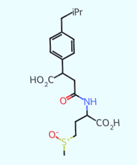 CC(C)Cc1ccc(C(CC(=O)NC(CC[S+](C)[O-])C(=O)O)C(=O)O)cc1